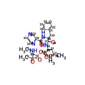 CN[C@@H](C(C)=O)C(=O)OB(O)[C@H](CC(C)C)NC(=O)[C@H](Cc1ccccc1)NC(=O)c1cnccn1